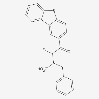 O=C(c1ccc2sc3ccccc3c2c1)C(F)C(Cc1ccccc1)C(=O)O